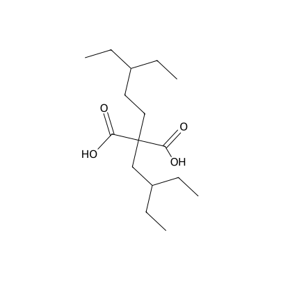 CCC(CC)CCC(CC(CC)CC)(C(=O)O)C(=O)O